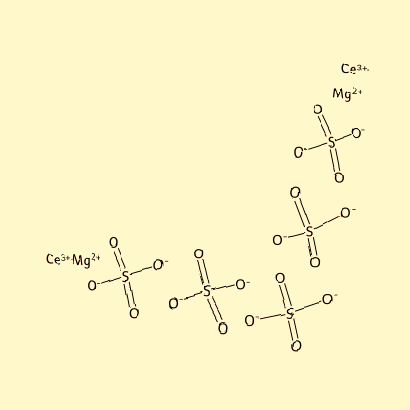 O=S(=O)([O-])[O-].O=S(=O)([O-])[O-].O=S(=O)([O-])[O-].O=S(=O)([O-])[O-].O=S(=O)([O-])[O-].[Ce+3].[Ce+3].[Mg+2].[Mg+2]